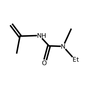 C=C(C)NC(=O)N(C)CC